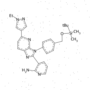 CCn1cc(-c2ccc3nc(-c4cccnc4N)n(-c4ccc(CO[Si](C)(C)C(C)(C)C)cc4)c3n2)cn1